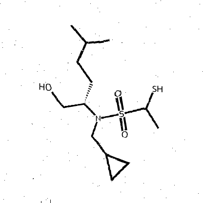 CC(C)CC[C@@H](CO)N(CC1CC1)S(=O)(=O)C(C)S